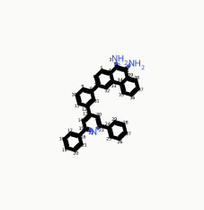 Nc1c(N)c2ccc(-c3cccc(-c4cc(-c5ccccc5)nc(-c5ccccc5)c4)c3)cc2c2ccccc12